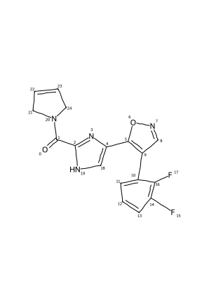 O=C(c1nc(-c2oncc2-c2cccc(F)c2F)c[nH]1)N1CC=CC1